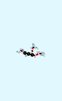 C=C(C)C(=O)OCCOc1cc(C(=O)OCCOC(O)C(=C)C)ccc1-c1ccc(-c2ccc(OC(=O)C(=C)C)cc2)c(CC)c1